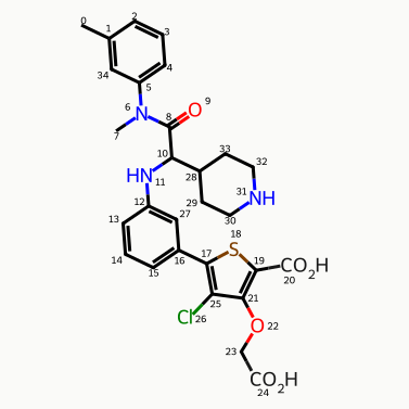 Cc1cccc(N(C)C(=O)C(Nc2cccc(-c3sc(C(=O)O)c(OCC(=O)O)c3Cl)c2)C2CCNCC2)c1